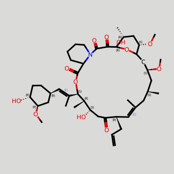 C=CC[C@@H]1/C=C(\C)C[C@H](C)C[C@H](OC)CC2O[C@@](O)(C(=O)C(=O)N3CCCCC3C(=O)O[C@H](/C(C)=C/[C@@H]3CC[C@@H](O)[C@H](OC)C3)[C@H](C)[C@@H](O)CC1=O)[C@H](C)C[C@@H]2OC